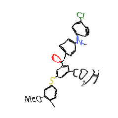 COc1cc(Sc2cc(C(=O)O)cc(C(=O)c3ccc(N(C)c4ccc(Cl)cc4)cc3)c2)ccc1C